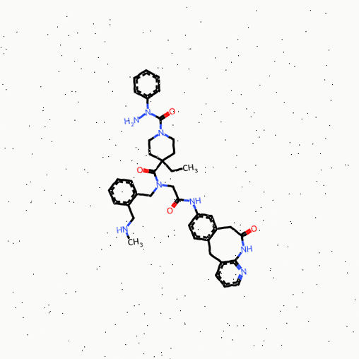 CCC1(C(=O)N(CC(=O)Nc2ccc3c(c2)CC(=O)Nc2ncccc2C3)Cc2ccccc2CNC)CCN(C(=O)N(N)c2ccccc2)CC1